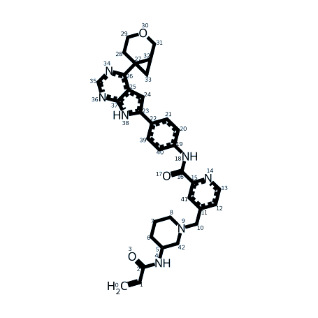 C=CC(=O)NC1CCCN(Cc2ccnc(C(=O)Nc3ccc(-c4cc5c(C67CCOCC6C7)ncnc5[nH]4)cc3)c2)C1